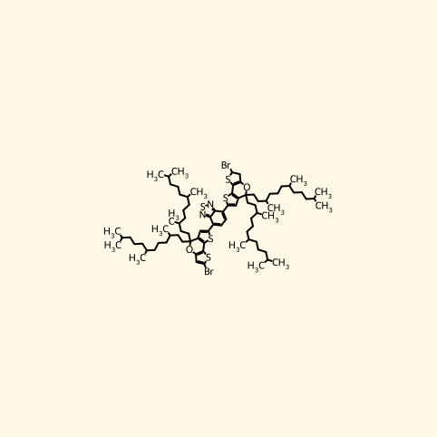 CC(C)CCCC(C)CCCC(C)CCC1(CCC(C)CCCC(C)CCCC(C)C)OC2=C(SC(Br)C2)c2sc(-c3ccc(-c4cc5c(s4)-c4sc(Br)cc4OC5(CCC(C)CCCC(C)CCCC(C)C)CCC(C)CCCC(C)CCCC(C)C)c4nsnc34)cc21